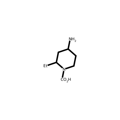 CCC1CC(N)CCN1C(=O)O